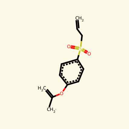 [CH2]C(=C)Oc1ccc(S(=O)(=O)CC=C)cc1